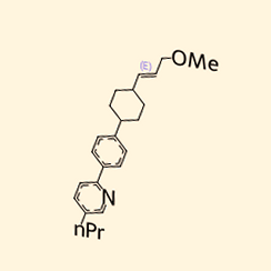 CCCc1ccc(-c2ccc(C3CCC(/C=C/COC)CC3)cc2)nc1